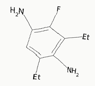 CCc1cc(N)c(F)c(CC)c1N